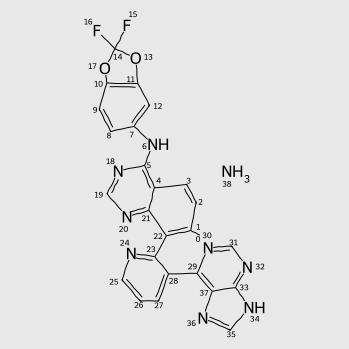 Cc1ccc2c(Nc3ccc4c(c3)OC(F)(F)O4)ncnc2c1-c1ncccc1-c1ncnc2[nH]cnc12.N